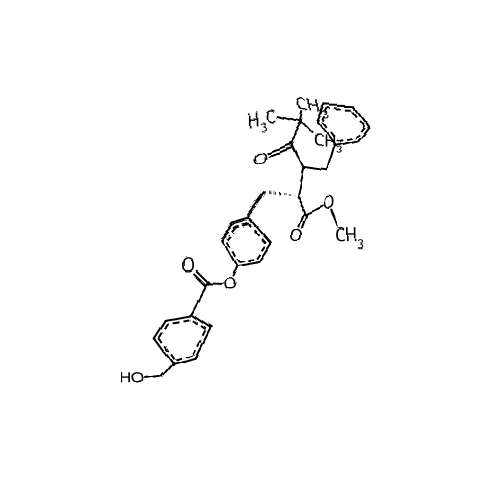 COC(=O)[C@H](Cc1ccc(OC(=O)c2ccc(CO)cc2)cc1)C(Cc1ccccc1)C(=O)C(C)(C)C